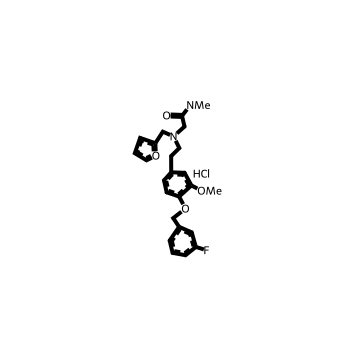 CNC(=O)CN(CCc1ccc(OCc2cccc(F)c2)c(OC)c1)Cc1ccco1.Cl